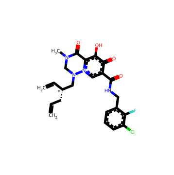 C=CC[C@H](C=C)CN1CN(C)C(=O)c2c(O)c(=O)c(C(=O)NCc3cccc(Cl)c3F)cn21